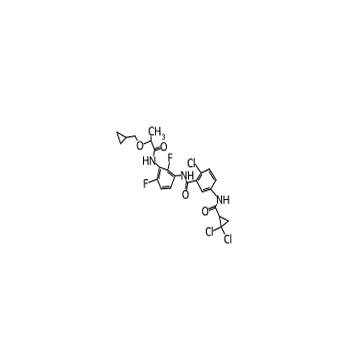 CC(OCC1CC1)C(=O)Nc1c(F)ccc(NC(=O)c2cc(NC(=O)C3CC3(Cl)Cl)ccc2Cl)c1F